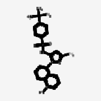 Cc1cc(NS(=O)(=O)c2ccc(C(C)(C)C)cc2)n(-c2cccc3c2ccc[n+]3O)n1